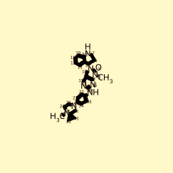 CN1C(=O)N(C2CCNc3ccccc32)Cc2cnc(Nc3ccc(N4CCN(C)C5(CC5)C4)cc3)nc21